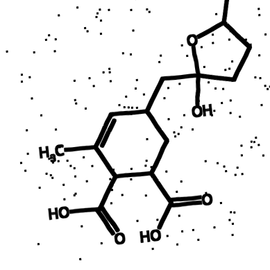 CC1=CC(CC2(O)CCC(O)O2)CC(C(=O)O)C1C(=O)O